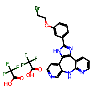 BrCCOc1cccc(-c2nc3c([nH]2)-c2ccncc2Nc2ncccc2-3)c1.O=C(O)C(F)(F)F.O=C(O)C(F)(F)F